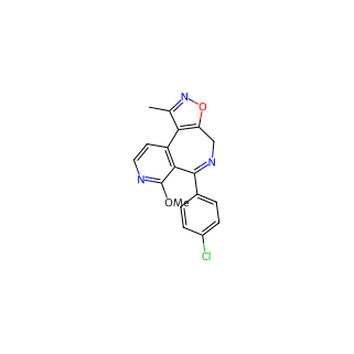 COc1nccc2c1C(c1ccc(Cl)cc1)=NCc1onc(C)c1-2